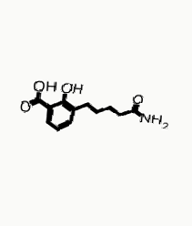 NC(=O)CCCCc1cccc(C(=O)O)c1O